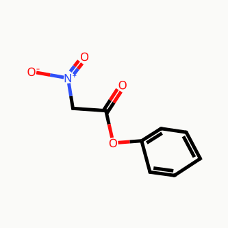 O=C(C[N+](=O)[O-])Oc1ccccc1